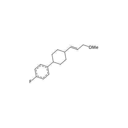 COC/C=C/C1CCC(c2ccc(F)cc2)CC1